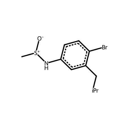 CC(C)Cc1cc(N[S+](C)[O-])ccc1Br